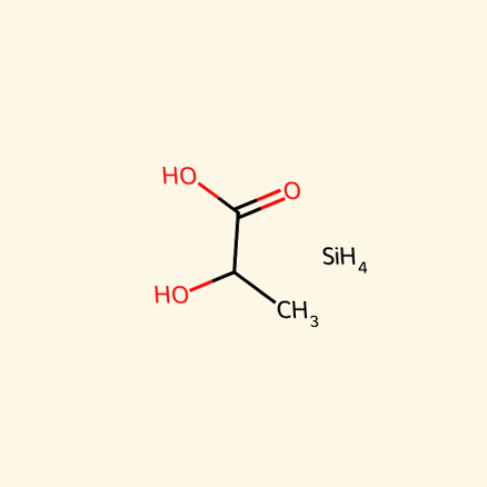 CC(O)C(=O)O.[SiH4]